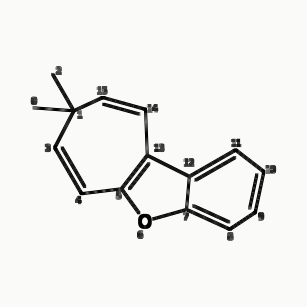 CC1(C)C=Cc2oc3ccccc3c2C=C1